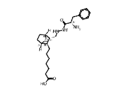 N[C@@H](Cc1ccccc1)C(=O)NNC[C@@H]1[C@@H](CCCCCCC(=O)O)[C@@H]2CC[C@H]1O2